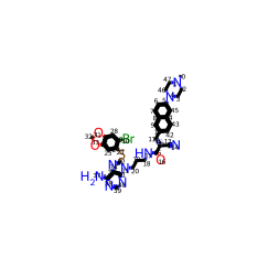 CN1CCN(c2ccc3cc(/C=C(\C#N)C(=O)NCCCn4c(Sc5cc6c(cc5Br)OCO6)nc5c(N)ncnc54)ccc3c2)CC1